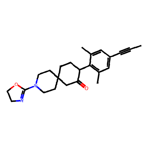 CC#Cc1cc(C)c(C2CCC3(CCN(C4=NCCO4)CC3)CC2=O)c(C)c1